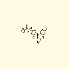 CN(C)CCN(C)c1cc(F)ccc1Nc1ccc(S(=O)(=O)Nc2cscn2)cc1Cl